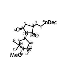 CCCCCCCCCCCCC1CC(=O)N(C2CC(C)(C)N(OC)C(C)(C)C2)C1=O